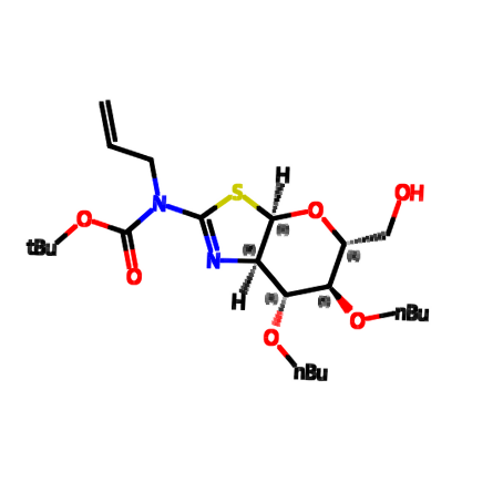 C=CCN(C(=O)OC(C)(C)C)C1=N[C@@H]2[C@@H](OCCCC)[C@H](OCCCC)[C@@H](CO)O[C@@H]2S1